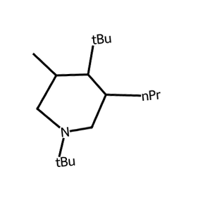 CCCC1CN(C(C)(C)C)CC(C)C1C(C)(C)C